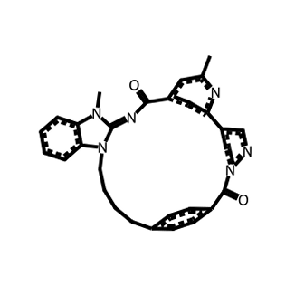 Cc1cc2cc(n1)-c1cnn(c1)C(=O)c1ccc(cc1)CCCCN1/C(=N/C2=O)N(C)c2ccccc21